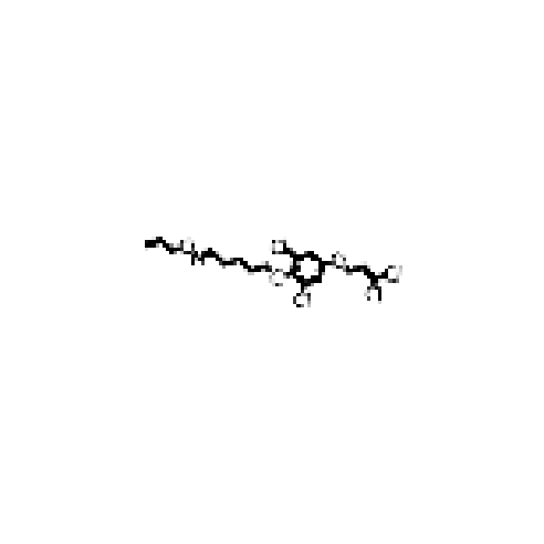 C=CCON=CCCCCOc1c(Cl)cc(OCC=C(Cl)Cl)cc1Cl